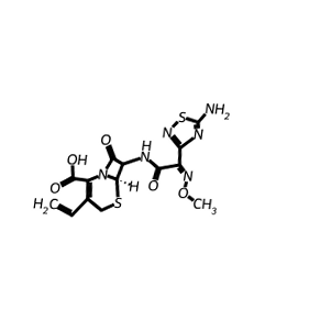 C=CC1=C(C(=O)O)N2C(=O)C(NC(=O)/C(=N\OC)c3nsc(N)n3)[C@H]2SC1